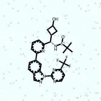 CC(C)(C)[S+]([O-])N[C@H](c1cccc(-c2ccc3cnn(-c4nccc(C(F)(F)F)n4)c3c2)n1)C1CC(O)C1